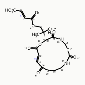 CC(C)(COC(=O)/C=C/C(=O)O)[C@H]1OC(=O)/C=C/C(=O)SCCNC(=O)CCNC1=O